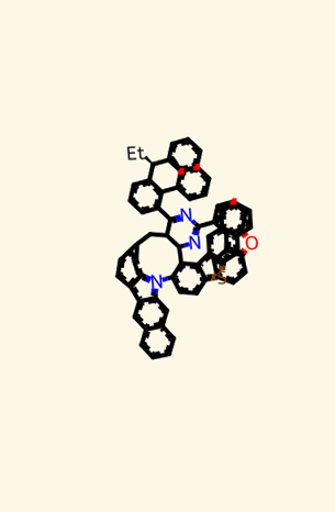 CC[C@@H](c1ccccc1)c1cccc(C2=NC(c3cccc4oc5ccccc5c34)=NC3c4c(ccc5sc6cc7ccccc7cc6c45)-n4c5cc(ccc5c5cc6ccccc6cc54)CC23)c1-c1ccccc1C